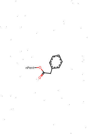 CCCCCOC(=O)Cc1ccccc1